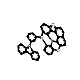 c1cc(N2c3cccc4c3B3c5c(ccc6ccc7oc8ccc2c3c8c7c56)O4)cc(-n2c3ccccc3c3ccccc32)c1